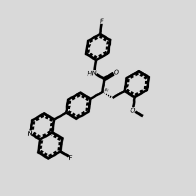 COc1ccccc1C[C@@H](C(=O)Nc1ccc(F)cc1)c1ccc(-c2ccnc3ccc(F)cc23)cc1